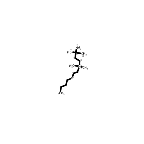 CCCCOCC[N+](C)(C)CCC(C)(C)N